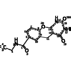 O=C(NCC(F)(F)F)c1ccc2c(c1)Cc1c([nH]c(=O)[nH]c1=O)O2